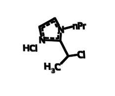 CCCn1ccnc1C(C)Cl.Cl